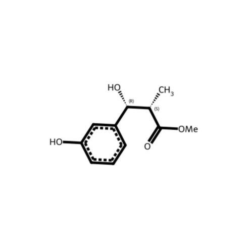 COC(=O)[C@@H](C)[C@@H](O)c1cccc(O)c1